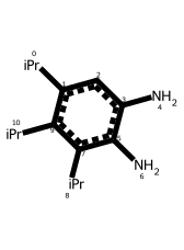 CC(C)c1cc(N)c(N)c(C(C)C)c1C(C)C